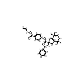 C=CCOC(=O)c1ccc(OC(=O)C2(CCc3ccccc3)CC3=C(C2)C(C)(C)CCC3(C)C)cc1